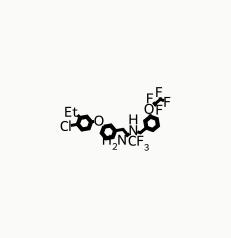 CCc1cc(Oc2cccc(CC(N)(NCc3cccc(OC(F)(F)C(F)F)c3)C(F)(F)F)c2)ccc1Cl